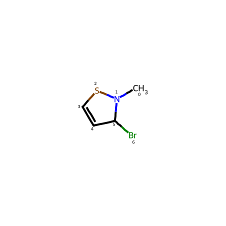 CN1SC=CC1Br